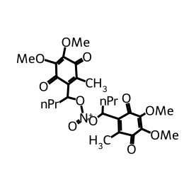 CCCC(O[N+](=O)OC(CCC)C1=C(C)C(=O)C(OC)=C(OC)C1=O)C1=C(C)C(=O)C(OC)=C(OC)C1=O